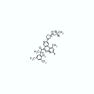 Cc1cc(F)ccc1-c1cc(N2CC[C@@H](NCS(C)(=O)=O)C2)ncc1N(C)C(=O)C(C)(C)c1cc(C(F)(F)F)cc(C(F)(F)F)c1